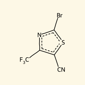 N#Cc1sc(Br)nc1C(F)(F)F